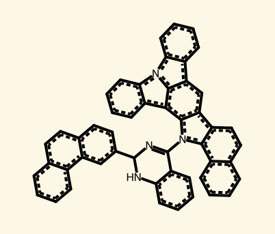 c1ccc2c(c1)NC(c1ccc3ccc4ccccc4c3c1)N=C2n1c2c3ccccc3ccc2c2cc3c4ccccc4n4c5ccccc5c(c21)c34